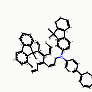 C=C/C=C(\C=C/CN(C(/C=C\C(=C)C1=CC=CC=CC1)=C/C)c1ccc2c(c1)C(C)(C)C1=C2C=CCC1)C(/C=C\C)=C(/C=C)C1(C)c2ccccc2-c2cccc(C)c21